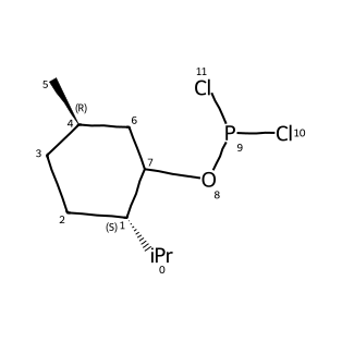 CC(C)[C@@H]1CC[C@@H](C)CC1OP(Cl)Cl